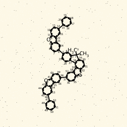 CC1(C)c2cc(-c3ccc4oc5ccc(-c6ccccc6)cc5c4c3)ccc2-c2c1ccc1sc3ccc(-c4ccc5oc6ccc(-c7ccccc7)cc6c5c4)cc3c21